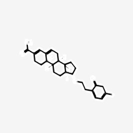 C[C@]12CC[C@H]3[C@@H](CC=C4C=C(C(=O)O)CC[C@@]43C)[C@@H]1CC[C@@H]2OCCC1=CC=C(F)CC1=O